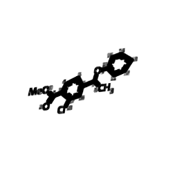 COC(=O)c1ccc(C(C)Oc2ccccc2)cc1Cl